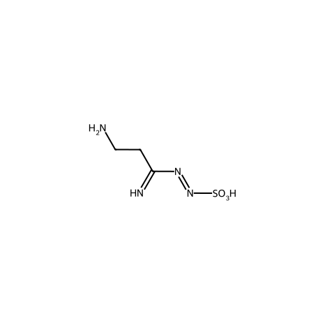 N=C(CCN)N=NS(=O)(=O)O